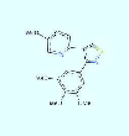 COc1ccc(-c2csnc2-c2cc(OC)c(OC)c(OC)c2)nc1